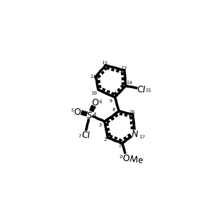 COc1cc(S(=O)(=O)Cl)c(-c2ccccc2Cl)cn1